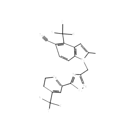 Cc1cc2c(C(F)(F)F)c(C#N)ccc2n1Cc1noc(C2=NCCC(C(F)(F)F)=C2)n1